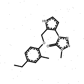 CCc1ccc(OCc2[nH]ccc2-n2nnn(C)c2=O)c(C)c1